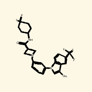 O=C(NC1CCC(F)(F)CC1)C1CN(c2cccc(-n3cc(O)c4cc(C(F)(F)F)ccc43)c2)C1